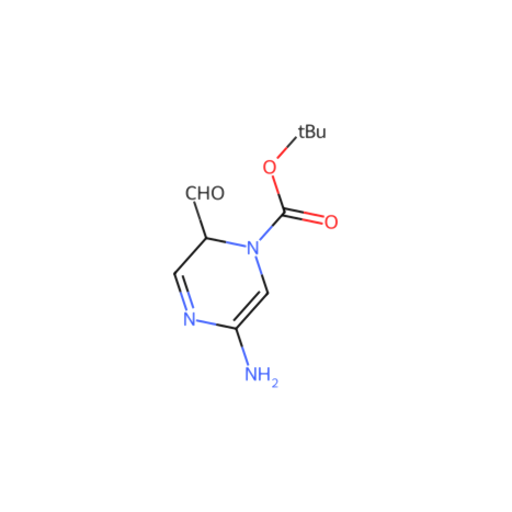 CC(C)(C)OC(=O)N1C=C(N)N=CC1C=O